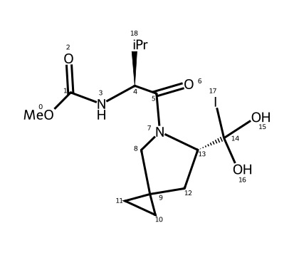 COC(=O)N[C@H](C(=O)N1CC2(CC2)C[C@H]1C(O)(O)I)C(C)C